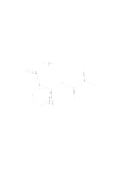 O=C(O)c1conc1CC(F)C(F)F